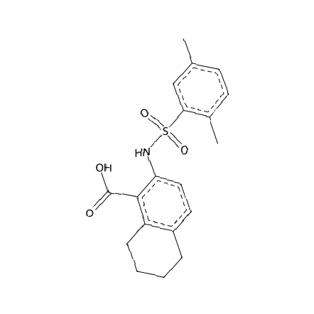 Cc1ccc(C)c(S(=O)(=O)Nc2ccc3c(c2C(=O)O)CCCC3)c1